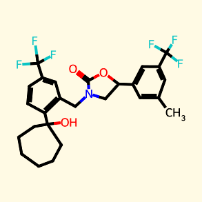 Cc1cc(C2CN(Cc3cc(C(F)(F)F)ccc3C3(O)CCCCCC3)C(=O)O2)cc(C(F)(F)F)c1